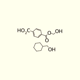 O=C(O)c1ccc(C(=O)OCO)cc1.OCC1CCCCC1